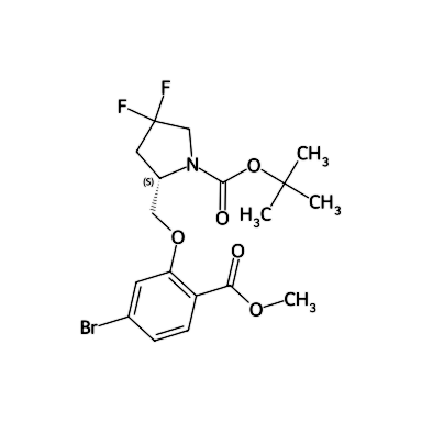 COC(=O)c1ccc(Br)cc1OC[C@@H]1CC(F)(F)CN1C(=O)OC(C)(C)C